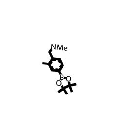 CNCc1ccc(B2OC(C)(C)C(C)(C)O2)cc1C